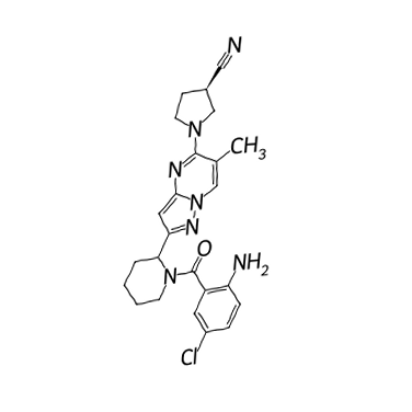 Cc1cn2nc(C3CCCCN3C(=O)c3cc(Cl)ccc3N)cc2nc1N1CC[C@@H](C#N)C1